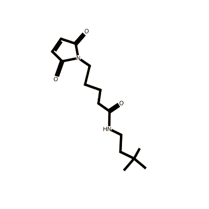 CC(C)(C)CCNC(=O)CCCCN1C(=O)C=CC1=O